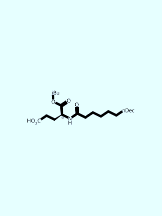 CCCCCCCCCCCCCCCC(=O)N[C@@H](CCC(=O)O)C(=O)OC(C)CC